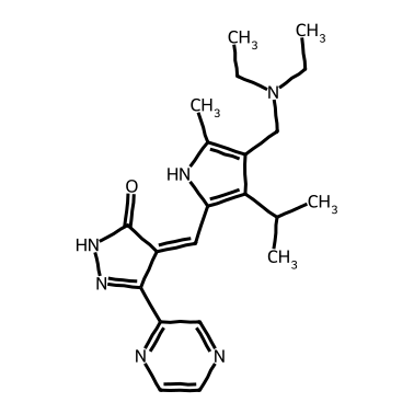 CCN(CC)Cc1c(C)[nH]c(C=C2C(=O)NN=C2c2cnccn2)c1C(C)C